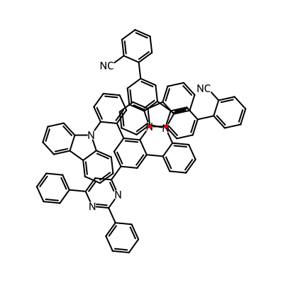 N#Cc1ccccc1-c1ccc2c(c1)c1cc(-c3ccccc3C#N)ccc1n2-c1c(-c2ccccc2-n2c3ccccc3c3ccccc32)cc(-c2cc(-c3ccccc3)nc(-c3ccccc3)n2)cc1-c1ccccc1-n1c2ccccc2c2ccccc21